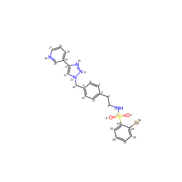 O=S(=O)(NCCc1ccc(Cn2cc(-c3cccnc3)nn2)cc1)c1ccccc1Br